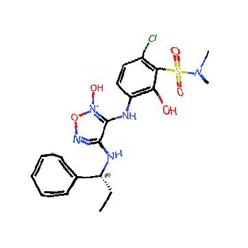 CC[C@@H](Nc1no[n+](O)c1Nc1ccc(Cl)c(S(=O)(=O)N(C)C)c1O)c1ccccc1